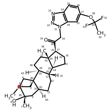 COC[C@]12CC[C@@](C)(O)C[C@@H]1CC[C@H]1[C@@H]3CC[C@H](C(=O)Cn4nnc5ccc(OC(C)(F)F)cc54)[C@@]3(C)CC[C@@H]12